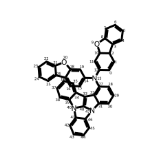 C1=CC2c3ccccc3OC2C=C1N(c1ccc2c(c1)oc1ccccc12)c1cccc2c1c1c3ccccc3n3c4ccccc4n2c13